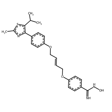 Cc1nc(-c2ccc(OCC=CCOc3ccc(C(=N)NO)cc3)cc2)c(C(C)C)s1